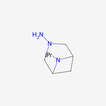 CC(C)N1C2CC1CN(N)C2